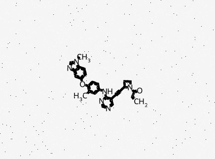 C=CC(=O)N1CCC1C#Cc1cncnc1Nc1ccc(Oc2ccc3c(c2)ncn3C)c(C)c1